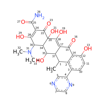 CC1c2c(-c3cnccn3)ccc(O)c2C(=O)C2=C(O)C3(O)C(=O)C(C(N)=O)=C(O)C(N(C)C)C3C(O)C21